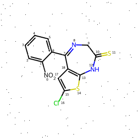 O=[N+]([O-])c1ccccc1C1=NCC(=S)Nc2sc(Cl)cc21